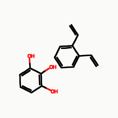 C=Cc1ccccc1C=C.Oc1cccc(O)c1O